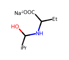 CCC(NC(O)C(C)C)C(=O)[O-].[Na+]